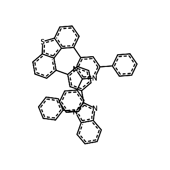 c1ccc(-c2cc(-c3cccc4sc5cccc(-c6cccc(-c7nc8ccccc8n7-c7ccccc7)c6)c5c34)nc(-c3ccccc3)n2)cc1